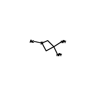 CCCC1(CCC)CN(C(C)=O)C1